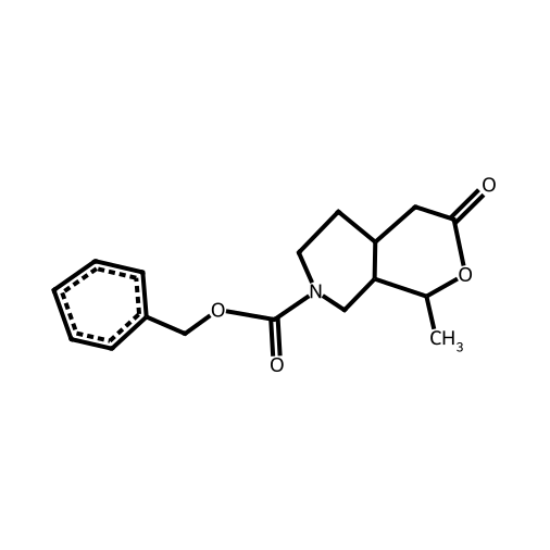 CC1OC(=O)CC2CCN(C(=O)OCc3ccccc3)CC21